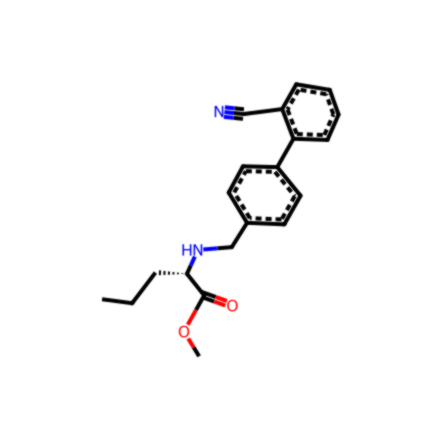 CCC[C@H](NCc1ccc(-c2ccccc2C#N)cc1)C(=O)OC